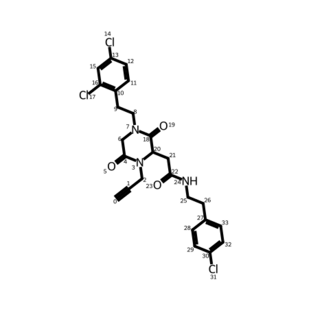 C#CCN1C(=O)CN(CCc2ccc(Cl)cc2Cl)C(=O)C1CC(=O)NCCc1ccc(Cl)cc1